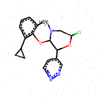 Cc1cccc(C2CC2)c1OC1C(c2ccnnc2)OC(Cl)CN1C(=O)O